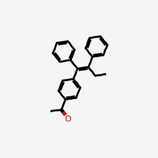 CCC(=C(c1ccccc1)c1ccc(C(C)=O)cc1)c1ccccc1